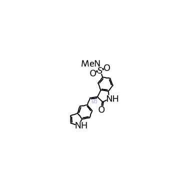 CNS(=O)(=O)c1ccc2c(c1)/C(=C/c1ccc3[nH]ccc3c1)C(=O)N2